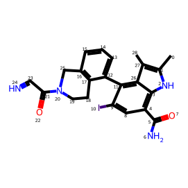 Cc1[nH]c2c(C(N)=O)cc(I)c(-c3cccc4c3CCN(C(=O)C=N)C4)c2c1C